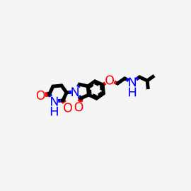 CC(C)CNCCOc1ccc2c(c1)CN(C1CCC(=O)NC1=O)C2=O